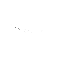 CS(=O)(=O)c1ccc(-c2cn3c(n2)CC[C@@H](C2CCN(C4CC5CCC(C4)N5)CC2)C3)cc1